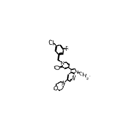 [CH2]n1cc(-c2ccn(Cc3cc(F)cc(Cl)c3)c(=O)c2)c2cc(N3CCOCC3)cnc21